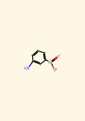 Nc1ccc[c]([Ge](=[O])[OH])c1